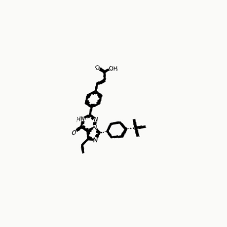 CCc1nc([C@H]2CC[C@@H](C(C)(C)C)CC2)n2nc(-c3ccc(C=CC(=O)O)cc3)[nH]c(=O)c12